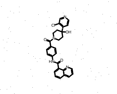 O=C(Nc1ccc(C(=O)N2CCC(O)(c3ccncc3Cl)CC2)cc1)c1cccc2cccnc12